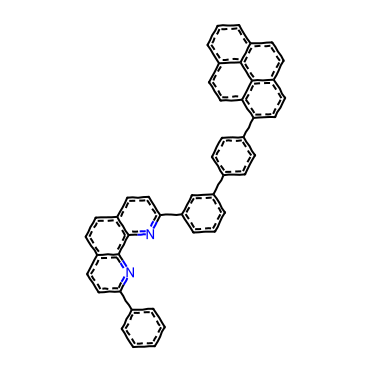 c1ccc(-c2ccc3ccc4ccc(-c5cccc(-c6ccc(-c7ccc8ccc9cccc%10ccc7c8c9%10)cc6)c5)nc4c3n2)cc1